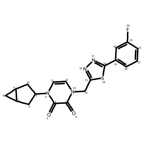 O=c1c(=O)n(C2CC3CC3C2)ccn1Cc1nnc(-c2cccc(F)c2)s1